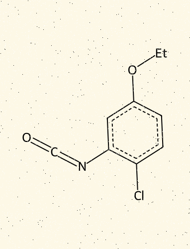 CCOc1ccc(Cl)c(N=C=O)c1